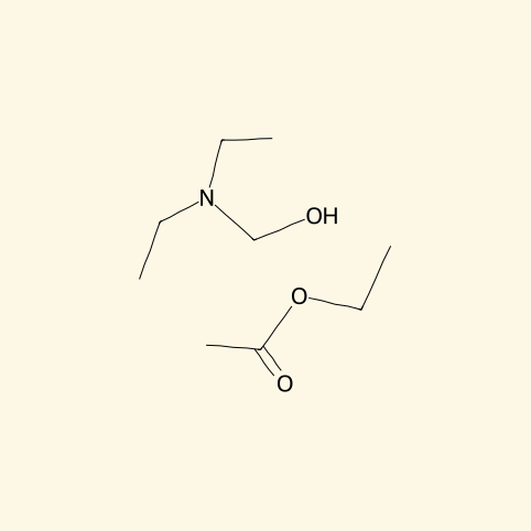 CCN(CC)CO.CCOC(C)=O